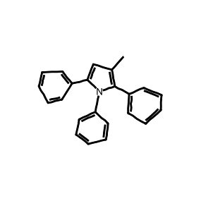 Cc1cc(-c2ccccc2)n(-c2ccccc2)c1-c1ccccc1